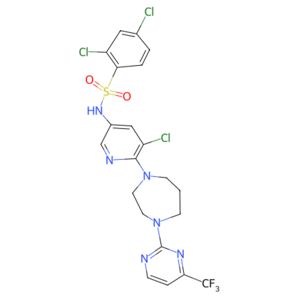 O=S(=O)(Nc1cnc(N2CCCN(c3nccc(C(F)(F)F)n3)CC2)c(Cl)c1)c1ccc(Cl)cc1Cl